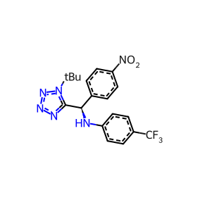 CC(C)(C)n1nnnc1[C@H](Nc1ccc(C(F)(F)F)cc1)c1ccc([N+](=O)[O-])cc1